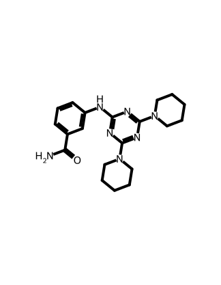 NC(=O)c1cccc(Nc2nc(N3CCCCC3)nc(N3CCCCC3)n2)c1